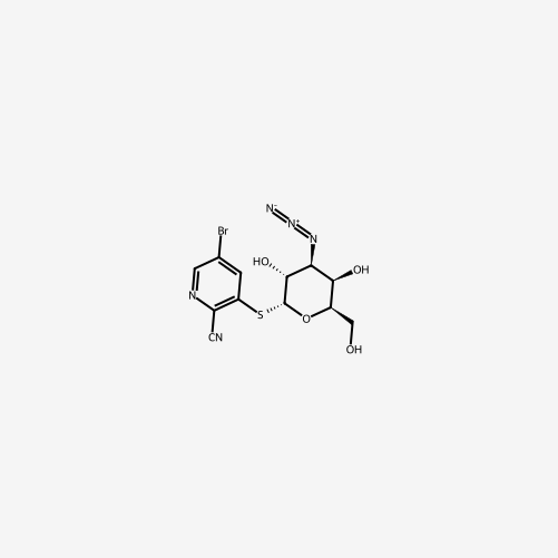 N#Cc1ncc(Br)cc1S[C@H]1O[C@H](CO)[C@H](O)[C@H](N=[N+]=[N-])[C@H]1O